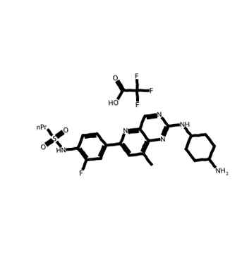 CCCS(=O)(=O)Nc1ccc(-c2cc(C)c3nc(NC4CCC(N)CC4)ncc3n2)cc1F.O=C(O)C(F)(F)F